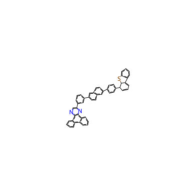 C1=CC(c2ccc(-c3ccc4cc(-c5cccc(-c6cnc7c8ccccc8c8ccccc8c7n6)c5)ccc4c3)cc2)C2Sc3ccccc3C2=C1